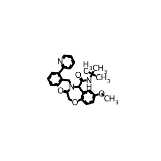 COc1ccc2c(c1)C(C(=O)NC(C)(C)C)N(Cc1ccccc1-c1ccccn1)C(=O)CO2